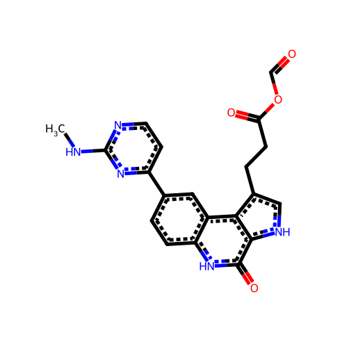 CNc1nccc(-c2ccc3[nH]c(=O)c4[nH]cc(CCC(=O)OC=O)c4c3c2)n1